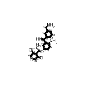 C[C@@H](Oc1ccc(N)c(C(=N)c2cccc(CN)c2)c1)c1c(Cl)cncc1Cl